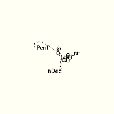 CCCCC/C=C\C/C=C\CCCCCCCC(=O)OC[C@H](COP(=O)([O-])OCC[N+](C)(C)C)OC(=O)CCCCCCCCCCCCCC